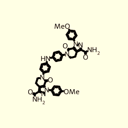 COc1ccc(-n2nc(C(N)=O)c3c2C(=O)N(c2ccc(Nc4ccc(N5CCc6c(C(N)=O)nn(-c7ccc(OC)cc7)c6C5=O)cc4)cc2)CC3)cc1